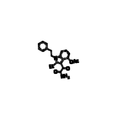 CCc1c(C(=O)C(N)=O)c2c(OC(C)=O)cccc2n1CCc1ccccc1